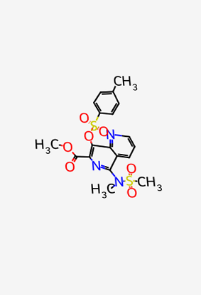 COC(=O)c1nc(N(C)S(C)(=O)=O)c2cccnc2c1OS(=O)(=O)c1ccc(C)cc1